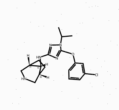 CC(C)n1nc(N[C@@H]2[C@@H]3CC[C@H]2CNC3)nc1Oc1cccc(Cl)c1